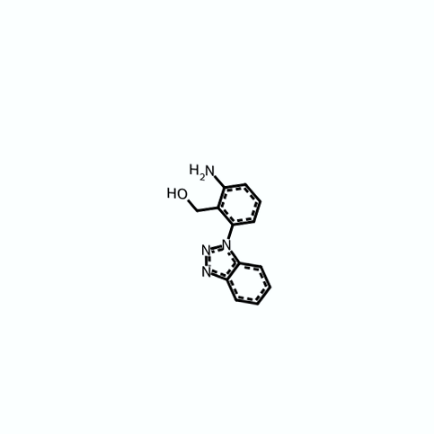 Nc1cccc(-n2nnc3ccccc32)c1CO